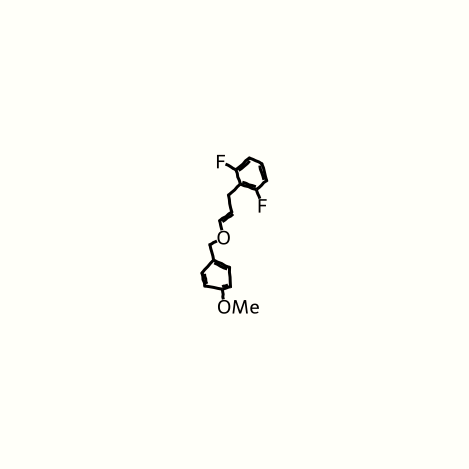 COc1ccc(COC=CCc2c(F)cccc2F)cc1